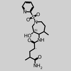 CC(C[CH]C(=O)NC1C(C)CCN(S(=O)(=O)c2ccccn2)C[C@@H]1O)C(N)=O